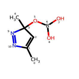 CC1=CC(C)(OB(O)O)N=N1